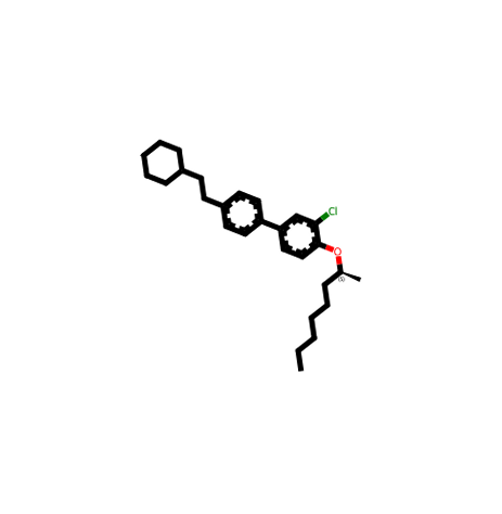 CCCCCC[C@H](C)Oc1ccc(-c2ccc(CCC3CC[CH]CC3)cc2)cc1Cl